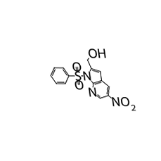 O=[N+]([O-])c1cnc2c(c1)cc(CO)n2S(=O)(=O)c1ccccc1